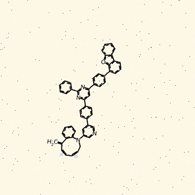 C=C1/C=C\C=C/CN(c2cncc(-c3ccc(-c4cc(-c5ccc(-c6cccc7c6oc6ccccc67)cc5)nc(-c5ccccc5)n4)cc3)c2)c2ccccc21